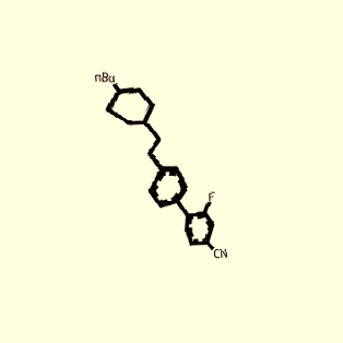 CCCCC1CCC(CCc2ccc(-c3ccc(C#N)cc3F)cc2)CC1